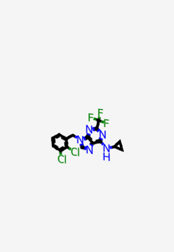 FC(F)(F)c1nc(NC2CC2)c2ncn(Cc3cccc(Cl)c3Cl)c2n1